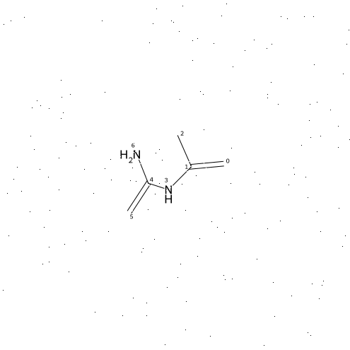 C=C(C)NC(=C)N